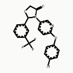 O=C1CSC(c2cccc(C(F)(F)F)c2)N1c1ccc(Oc2ccc(Cl)cc2)nc1